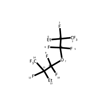 CCC(F)(C(F)(F)F)C(F)(F)OC(F)(F)C(F)(CC)C(F)(F)F